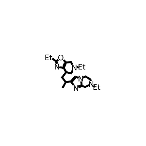 CCc1nc2c(o1)CN(CC)CC2CC(C)c1cn2c(n1)CN(CC)CC2